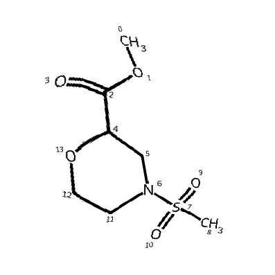 COC(=O)C1CN(S(C)(=O)=O)CCO1